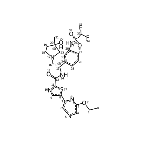 CCOc1cncc(-c2cnc(C(=O)N[C@H](CN3CC[C@](C)(O)C3)c3cccc(NS(=O)(=O)C(F)F)c3)s2)n1